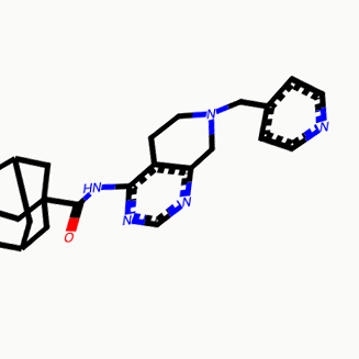 O=C(Nc1ncnc2c1CCN(Cc1ccncc1)C2)C12CC3CC(CC(C3)C1)C2